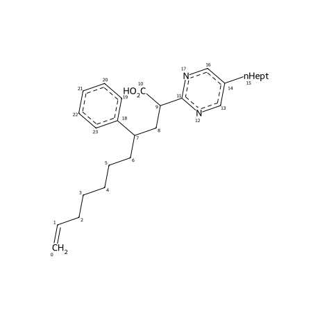 C=CCCCCCC(CC(C(=O)O)c1ncc(CCCCCCC)cn1)c1ccccc1